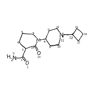 NC(=O)C1CCCN(C2CCN(C3CCC3)CC2)C1=O